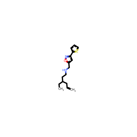 C=CCC(CC)CCNCc1cc(-c2cccs2)no1